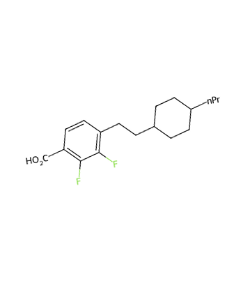 CCCC1CCC(CCc2ccc(C(=O)O)c(F)c2F)CC1